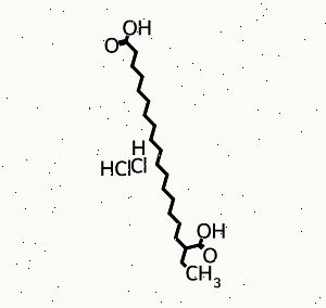 CCC(CCCCCCCCCCCCCCCCC(=O)O)C(=O)O.Cl.Cl